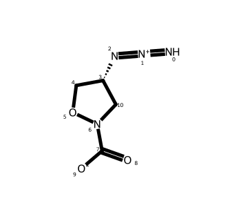 N=[N+]=N[C@H]1CON(C(=O)[O-])C1